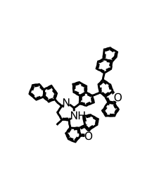 CC1=C(c2cccc3oc4ccccc4c23)NC(c2ccc(-c3cc(-c4ccc5ccccc5c4)cc4oc5ccccc5c34)c3ccccc23)N=C(c2ccc3ccccc3c2)C1